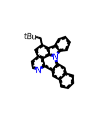 CC(C)(C)Cc1cc2ccnc3c4cc5ccccc5cc4n4c5ccccc5c1c4c23